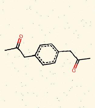 CC(=O)Cc1ccc(CC(C)=O)cc1